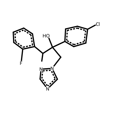 CC(c1ccccc1F)C(O)(Cn1cncn1)c1ccc(Cl)cc1